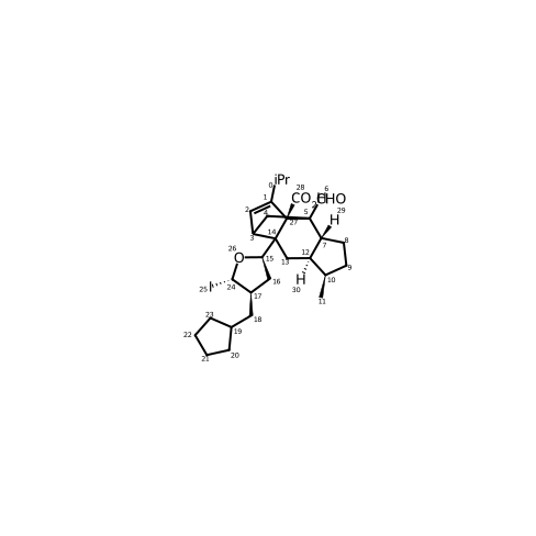 CC(C)C1=CC2CC3(C=O)[C@@H]4CC[C@@H](C)[C@H]4CC2([C@H]2C[C@@H](CC4CCCC4)[C@H](I)O2)[C@]13C(=O)O